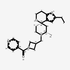 CCc1cc2c(s1)CCO[C@@]21CCN(CC2CN(C(=O)c3ccncc3)C2)[C@@H](C)C1